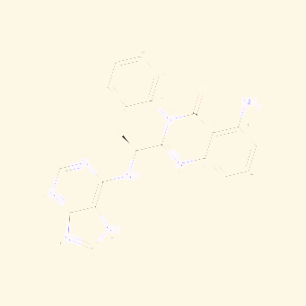 CC[C@H](Nc1ncnc2nc[nH]c12)c1nc2cccc(N)c2c(=O)n1-c1ccccc1